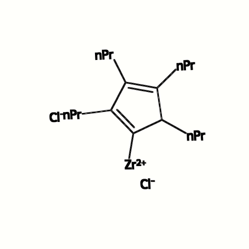 CCCC1=[C]([Zr+2])C(CCC)C(CCC)=C1CCC.[Cl-].[Cl-]